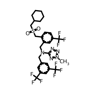 Cn1nnc(N(Cc2cc(C(F)(F)F)cc(C(F)(F)F)c2)Cc2cc(C(F)(F)F)ccc2CS(=O)(=O)CC2CCCCC2)n1